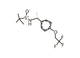 C[C@@H](N[S@+]([O-])C(C)(C)C)c1ccc(OCC(F)(F)F)cc1